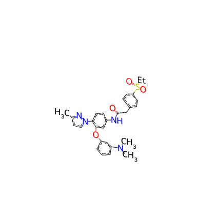 CCS(=O)(=O)c1ccc(CC(=O)Nc2ccc(-n3ccc(C)n3)c(Oc3cccc(N(C)C)c3)c2)cc1